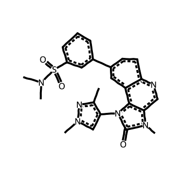 Cc1nn(C)cc1-n1c(=O)n(C)c2cnc3ccc(-c4cccc(S(=O)(=O)N(C)C)c4)cc3c21